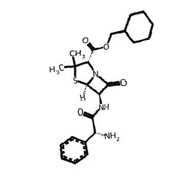 CC1(C)S[C@@H]2[C@H](NC(=O)[C@H](N)c3ccccc3)C(=O)N2[C@H]1C(=O)OCC1CCCCC1